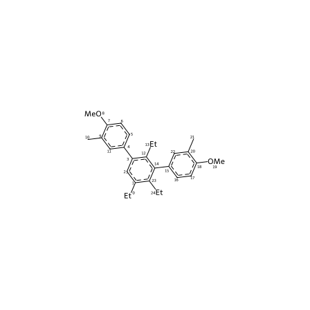 CCc1[c]c(-c2ccc(OC)c(C)c2)c(CC)c(-c2ccc(OC)c(C)c2)c1CC